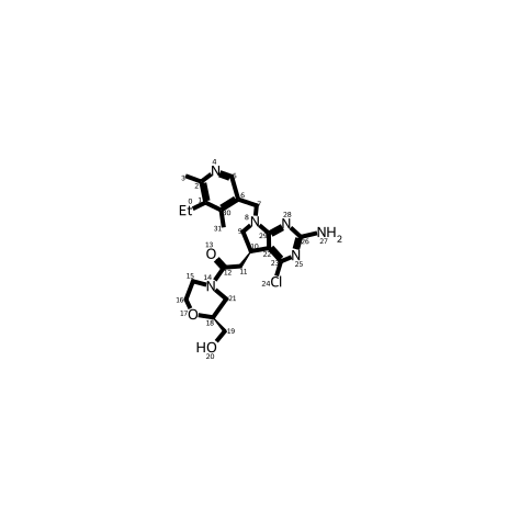 CCc1c(C)ncc(CN2C[C@H](CC(=O)N3CCO[C@H](CO)C3)c3c(Cl)nc(N)nc32)c1C